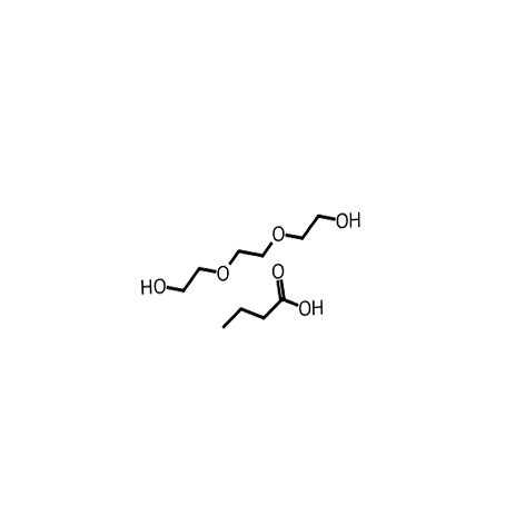 CCCC(=O)O.OCCOCCOCCO